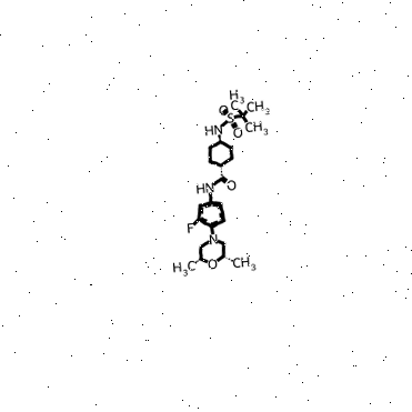 C[C@@H]1CN(c2ccc(NC(=O)[C@H]3CC[C@H](NS(=O)(=O)C(C)(C)C)CC3)cc2F)C[C@H](C)O1